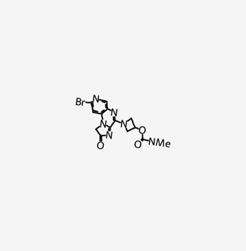 CNC(=O)OC1CN(C2=Nc3cnc(Br)cc3N3CC(=O)N=C23)C1